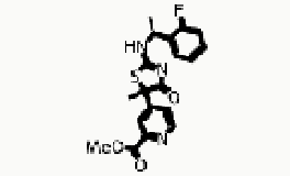 COC(=O)c1cc(C2(C)SC(N[C@@H](C)c3ccccc3F)=NC2=O)ccn1